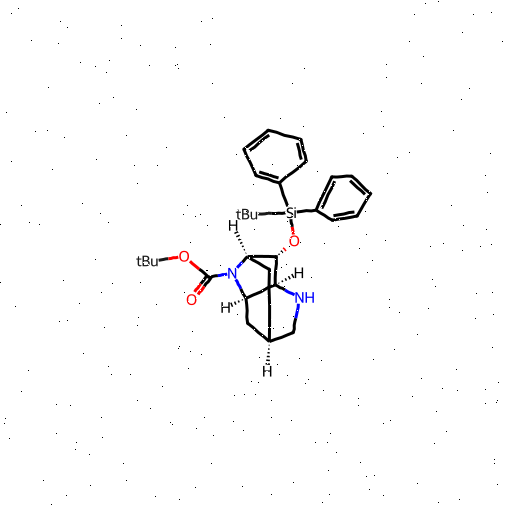 CC(C)(C)OC(=O)N1[C@@H]2C[C@@H]3CN[C@@H]2[C@@H](O[Si](c2ccccc2)(c2ccccc2)C(C)(C)C)[C@H]1C3